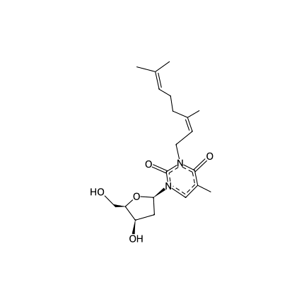 CC(C)=CCCC(C)=CCn1c(=O)c(C)cn([C@H]2C[C@@H](O)[C@@H](CO)O2)c1=O